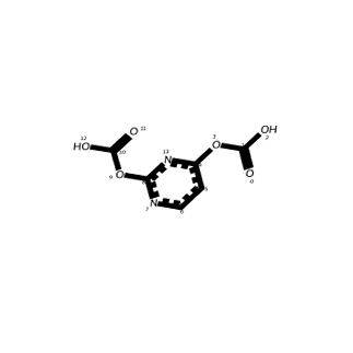 O=C(O)Oc1ccnc(OC(=O)O)n1